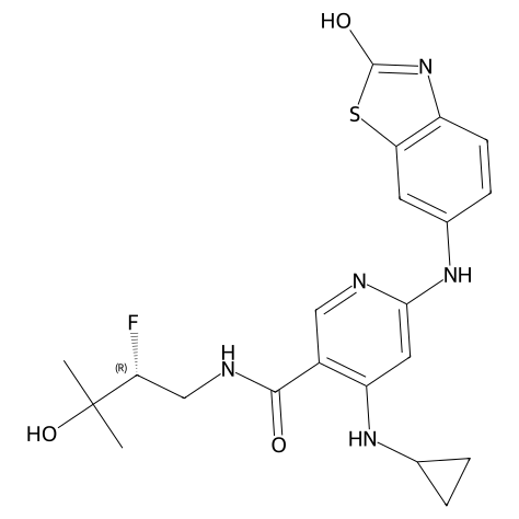 CC(C)(O)[C@H](F)CNC(=O)c1cnc(Nc2ccc3nc(O)sc3c2)cc1NC1CC1